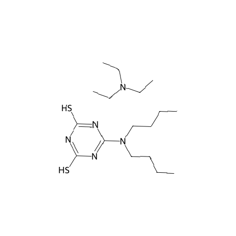 CCCCN(CCCC)c1nc(S)nc(S)n1.CCN(CC)CC